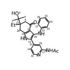 CCC1(C(C)(C)O)CC(=O)c2c([nH]c(-c3ccnc(NC(C)=O)c3)c2Nc2ccccc2)C1